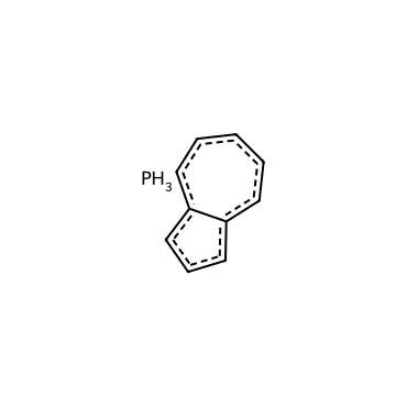 P.c1ccc2cccc-2cc1